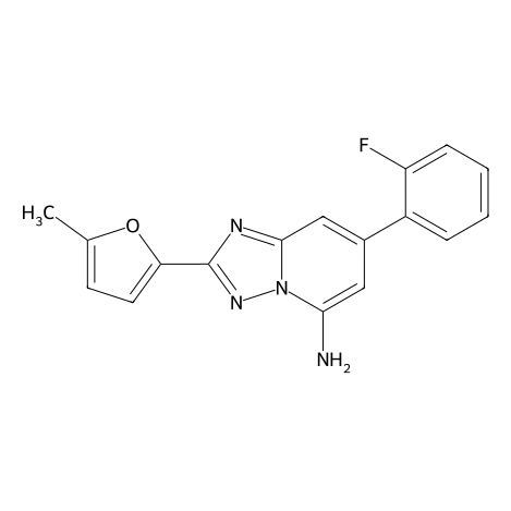 Cc1ccc(-c2nc3cc(-c4ccccc4F)cc(N)n3n2)o1